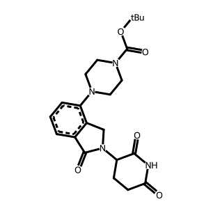 CC(C)(C)OC(=O)N1CCN(c2cccc3c2CN(C2CCC(=O)NC2=O)C3=O)CC1